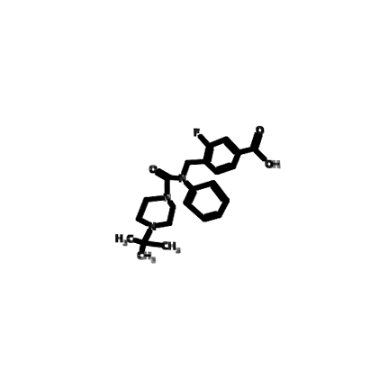 CC(C)(C)N1CCN(C(=O)N(Cc2ccc(C(=O)O)cc2F)c2ccccc2)CC1